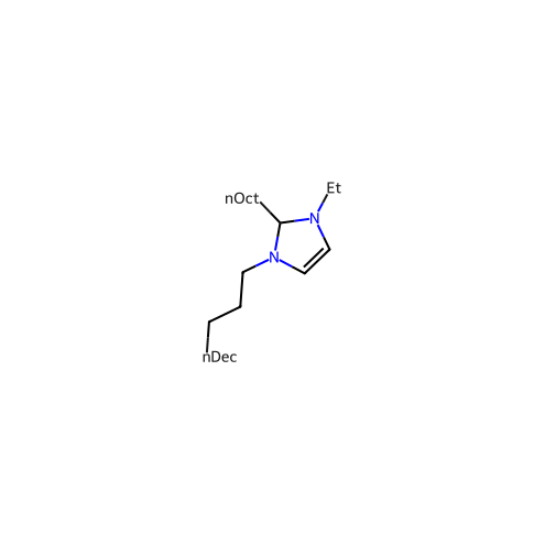 CCCCCCCCCCCCCN1C=CN(CC)C1CCCCCCCC